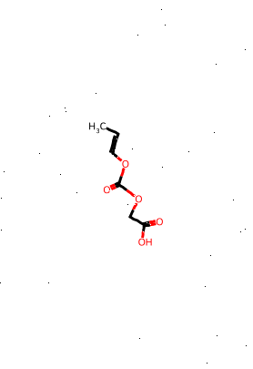 CC=COC(=O)OCC(=O)O